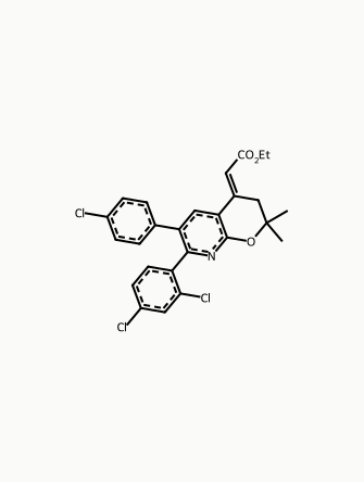 CCOC(=O)/C=C1\CC(C)(C)Oc2nc(-c3ccc(Cl)cc3Cl)c(-c3ccc(Cl)cc3)cc21